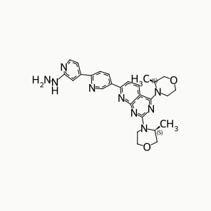 C[C@H]1COCCN1c1nc(N2CCOC[C@@H]2C)c2ccc(-c3ccc(-c4ccnc(NN)c4)nc3)nc2n1